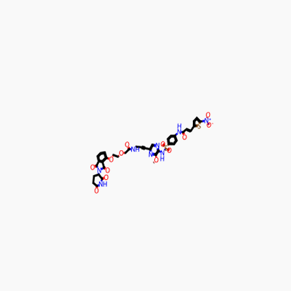 COc1nc(C#CCNC(=O)COCCOc2cccc3c2C(=O)N(C2CCC(=O)NC2=O)C3=O)cnc1NS(=O)(=O)c1ccc(NC(=O)/C=C/c2ccc([N+](=O)[O-])s2)cc1